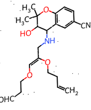 C=CCCO/C(=C\OCCC=O)CNC1c2cc(C#N)ccc2OC(C)(C)C1O